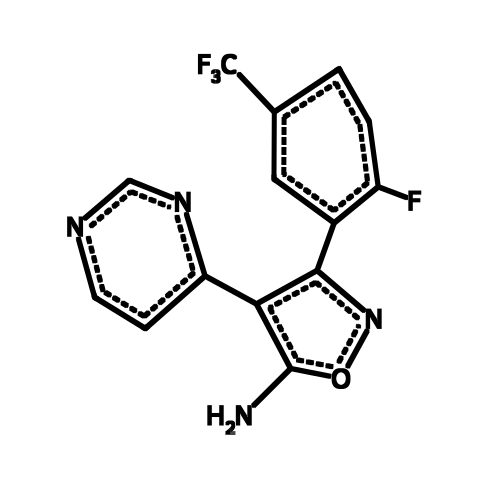 Nc1onc(-c2cc(C(F)(F)F)ccc2F)c1-c1ccncn1